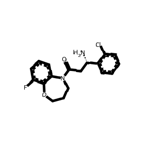 N[C@@H](CC(=O)N1CCCOc2c(F)cccc21)c1ccccc1Cl